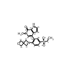 CCS(=O)(=O)c1ccc(N2CC3(COC3)C2)c(-c2cn(C)c(=O)c3[nH]ccc23)c1